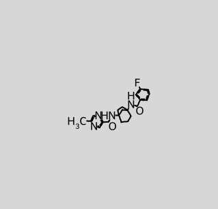 Cc1cnc(C(=O)NC23CCCC(NC(=O)c4cccc(F)c4)(CC2)C3)cn1